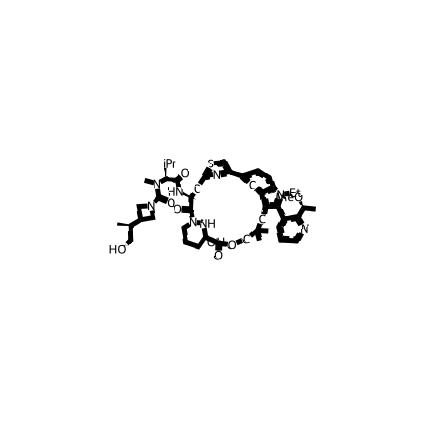 CCn1c(-c2cccnc2[C@H](C)OC)c2c3cc(ccc31)-c1csc(n1)C[C@H](NC(=O)[C@H](C(C)C)N(C)C(=O)N1CC([C@H](C)CO)C1)C(=O)N1CCC[C@@](O)(N1)C(=O)OCC(C)(C)C2